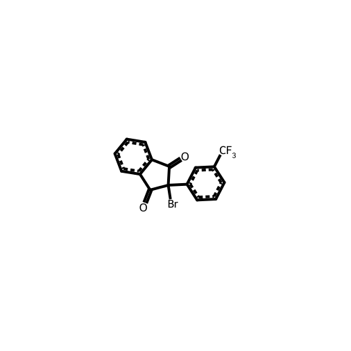 O=C1c2ccccc2C(=O)C1(Br)c1cccc(C(F)(F)F)c1